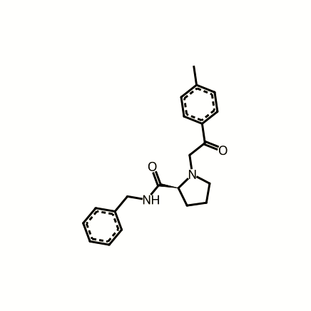 Cc1ccc(C(=O)CN2CCC[C@H]2C(=O)NCc2ccccc2)cc1